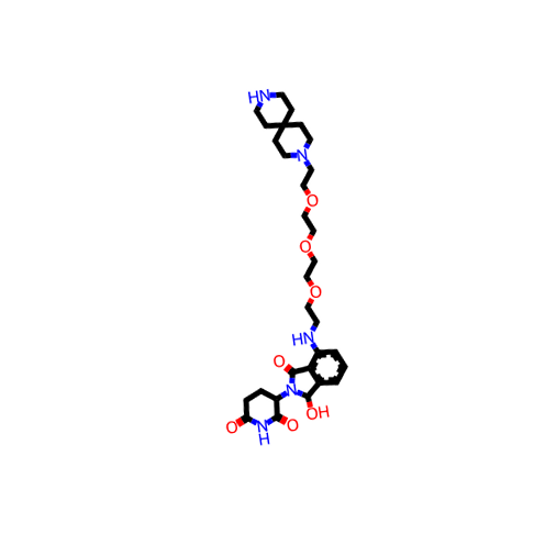 O=C1CCC(N2C(=O)c3c(NCCOCCOCCOCCN4CCC5(CCNCC5)CC4)cccc3C2O)C(=O)N1